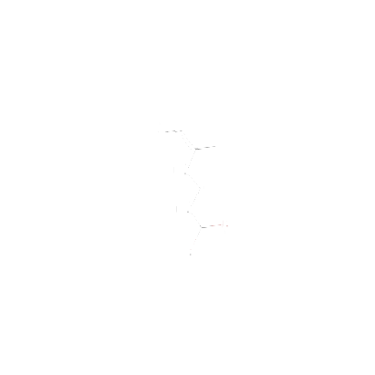 CC=C(C)[SiH2]C[SiH2]C(Br)Br